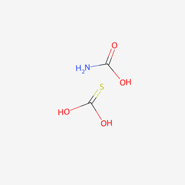 NC(=O)O.OC(O)=S